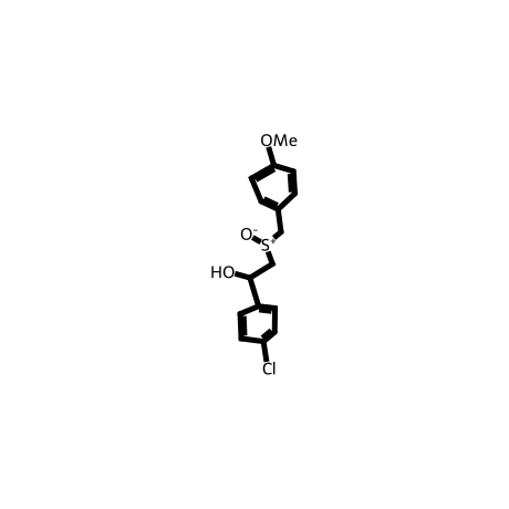 COc1ccc(C[S+]([O-])CC(O)c2ccc(Cl)cc2)cc1